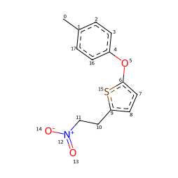 Cc1ccc(Oc2ccc(CC[N+](=O)[O-])s2)cc1